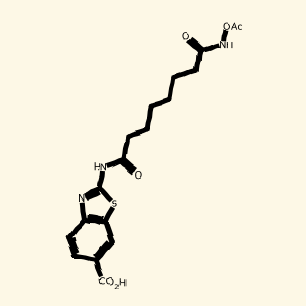 CC(=O)ONC(=O)CCCCCCC(=O)Nc1nc2ccc(C(=O)O)cc2s1